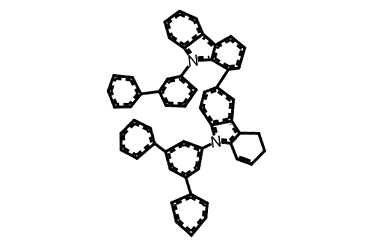 C1=Cc2c(c3cc(-c4cccc5c6ccccc6n(-c6cccc(-c7ccccc7)c6)c45)ccc3n2-c2cc(-c3ccccc3)cc(-c3ccccc3)c2)CC1